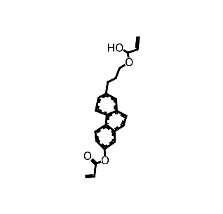 C=CC(=O)Oc1ccc2c(ccc3cc(CCCOC(O)C=C)ccc32)c1